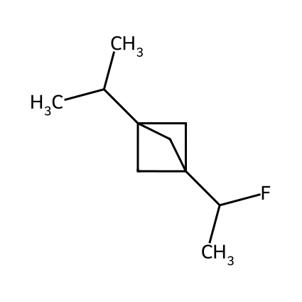 CC(C)C12CC(C(C)F)(C1)C2